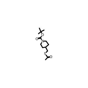 CC(=O)SCC1CCN(C(=O)OC(C)(C)C)CC1